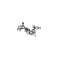 NC(=O)C(=Cn1cnc(-c2cc(C3CC3)nc(C(F)(F)F)c2)n1)c1cncc(C(=O)O)c1